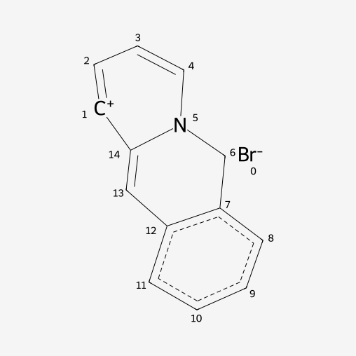 [Br-].[C+]1=CC=CN2Cc3ccccc3C=C12